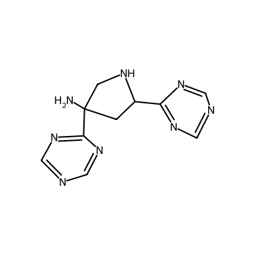 NC1(c2ncncn2)CNC(c2ncncn2)C1